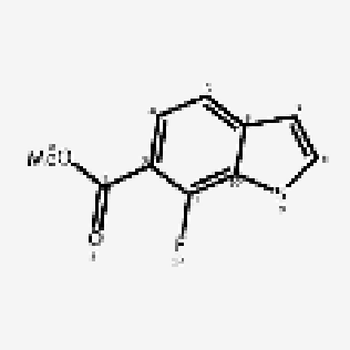 COC(=O)c1ccc2ccsc2c1F